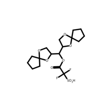 O=C(OC(C1COC2(CCCC2)O1)C1COC2(CCCC2)O1)C(F)(F)S(=O)(=O)O